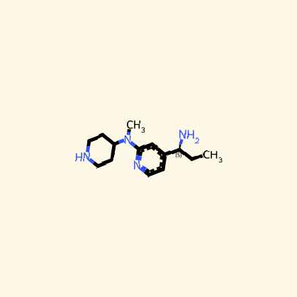 CC[C@H](N)c1ccnc(N(C)C2CCNCC2)c1